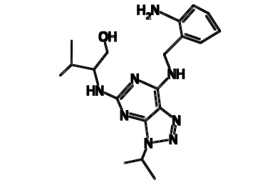 CC(C)C(CO)Nc1nc(NCc2ccccc2N)c2nnn(C(C)C)c2n1